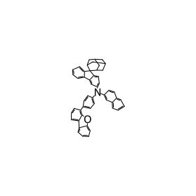 c1ccc2c(c1)-c1cc(N(c3ccc(-c4cccc5c4oc4ccccc45)cc3)c3ccc4ccccc4c3)ccc1C21C2CC3CC(C2)CC1C3